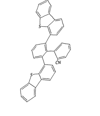 N#Cc1ccccc1-c1c(-c2cccc3c2sc2ccccc23)cccc1-c1cccc2c1sc1ccccc12